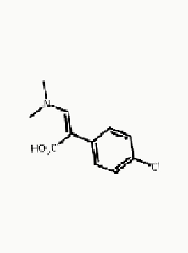 CN(C)/C=C(\C(=O)O)c1ccc(Cl)cc1